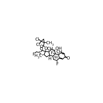 C[C@@H]1C[C@H]2[C@@H]3C[C@H](F)C4=CC(=O)C=C[C@]4(C)[C@@]3(F)[C@@H](O)C[C@]2(C)[C@@]1(OC(=O)C1(C)CC1(Cl)Cl)C(=O)SCF